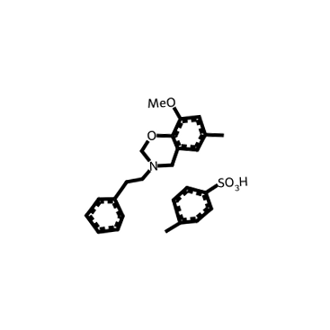 COc1cc(C)cc2c1OCN(CCc1ccccc1)C2.Cc1ccc(S(=O)(=O)O)cc1